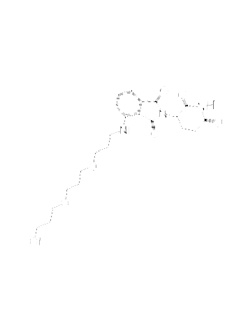 O=C1CCC(N2C(=O)c3cccc(NCCCOCCCOCCCO)c3C2=O)C(=O)N1